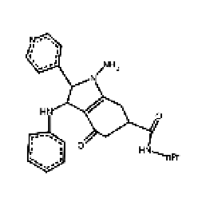 CCCNC(=O)C1CC(=O)C2=C(C1)N(N)C(c1ccncc1)C2Nc1ccccc1